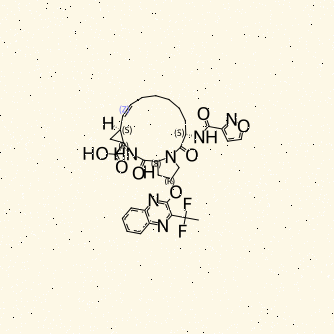 CC(F)(F)c1nc2ccccc2nc1O[C@@H]1C[C@H]2C(=O)N[C@]3(C(=O)O)C[C@H]3/C=C\CCCCC[C@H](NC(=O)c3ccon3)C(=O)N2C1